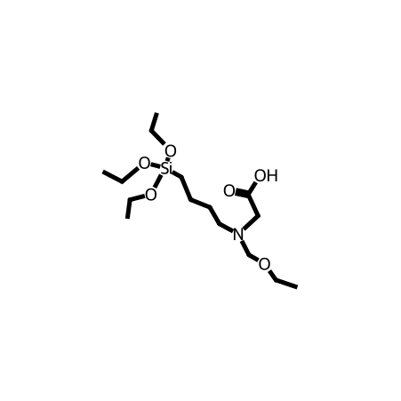 CCOCN(CCCC[Si](OCC)(OCC)OCC)CC(=O)O